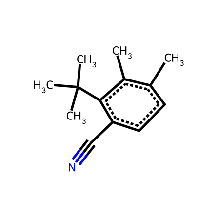 Cc1ccc(C#N)c(C(C)(C)C)c1C